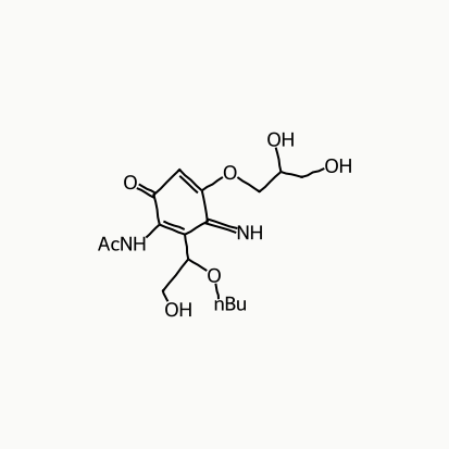 CCCCOC(CO)C1=C(NC(C)=O)C(=O)C=C(OCC(O)CO)C1=N